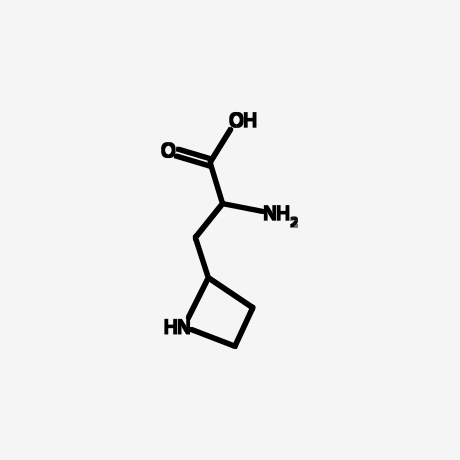 NC(CC1CCN1)C(=O)O